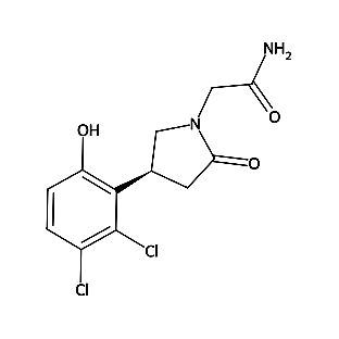 NC(=O)CN1C[C@H](c2c(O)ccc(Cl)c2Cl)CC1=O